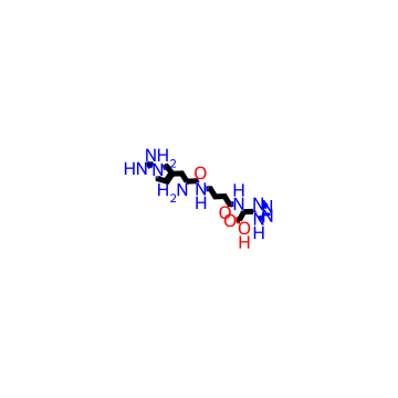 N=C(N)N1CC=C(CC(N)C(=O)NCCCC(=O)NC(C(=O)O)c2nnn[nH]2)C1